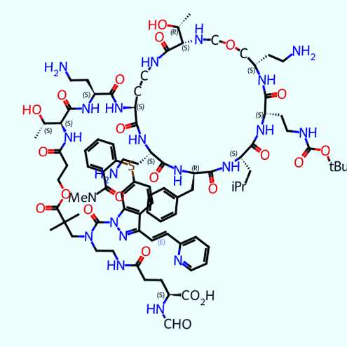 CNC(=O)c1ccccc1Sc1ccc2c(/C=C/c3ccccn3)nn(C(=O)N(CCNC(=O)CC[C@H](NC=O)C(=O)O)CC(C)(C)C(=O)OCCC(=O)N[C@H](C(=O)N[C@@H](CCN)C(=O)N[C@H]3CCNC(=O)[C@H]([C@@H](C)O)NCOC[C@H](CCN)NC(=O)[C@H](CCNC(=O)OC(C)(C)C)NC(=O)[C@H](CC(C)C)NC(=O)[C@@H](Cc4ccccc4)NC(=O)[C@H](CCN)NC3=O)[C@H](C)O)c2c1